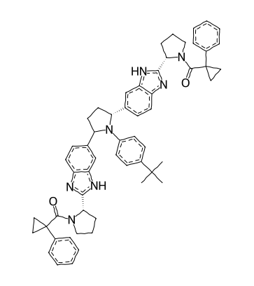 CC(C)(C)c1ccc(N2C(c3ccc4nc([C@@H]5CCCN5C(=O)C5(c6ccccc6)CC5)[nH]c4c3)CC[C@@H]2c2ccc3nc([C@@H]4CCCN4C(=O)C4(c5ccccc5)CC4)[nH]c3c2)cc1